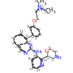 CN(C)CCOc1cccc(-c2cccc3cnc(Nc4cccnc4C4CNCCO4)nc23)c1